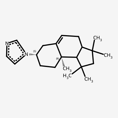 CC1(C)CC(C)(C)C2C1CC=C1C[C@@H](n3ccnc3)CC[C@@]12C